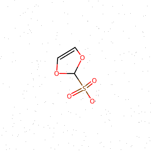 [O]S(=O)(=O)C1OC=CO1